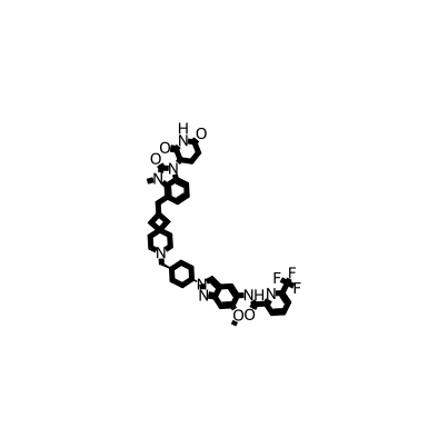 COc1cc2nn([C@H]3CC[C@H](CN4CCC5(CC4)CC(Cc4cccc6c4n(C)c(=O)n6C4CCC(=O)NC4=O)C5)CC3)cc2cc1NC(=O)c1cccc(C(F)(F)F)n1